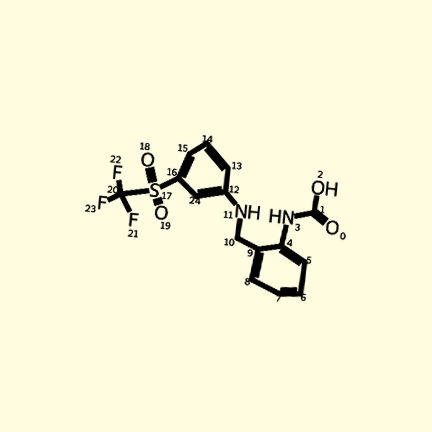 O=C(O)Nc1ccccc1CNc1cccc(S(=O)(=O)C(F)(F)F)c1